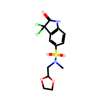 CN(CC1OCCO1)S(=O)(=O)c1ccc2c(c1)C(Cl)(Cl)C(=O)N2